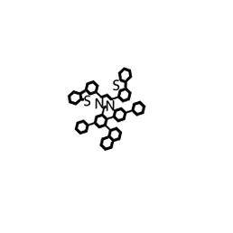 c1ccc(-c2ccc(-c3c(-c4nc(-c5cccc6c5sc5ccccc56)cc(-c5cccc6c5sc5ccccc56)n4)cc(-c4ccccc4)cc3-c3cccc4ccccc34)cc2)cc1